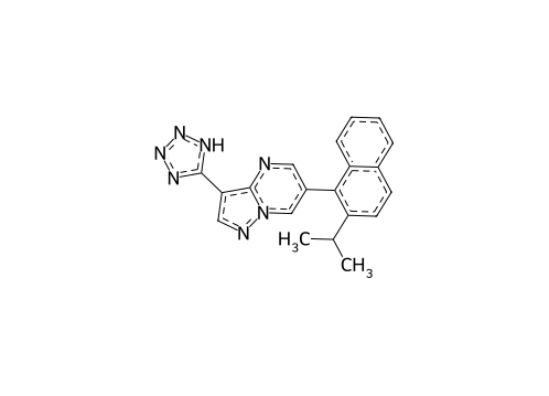 CC(C)c1ccc2ccccc2c1-c1cnc2c(-c3nnn[nH]3)cnn2c1